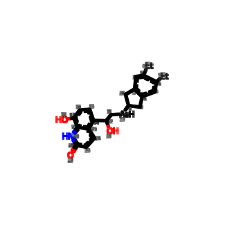 CCc1cc2c(cc1CC)CC([AsH]CC(O)c1ccc(O)c3[nH]c(=O)ccc13)C2